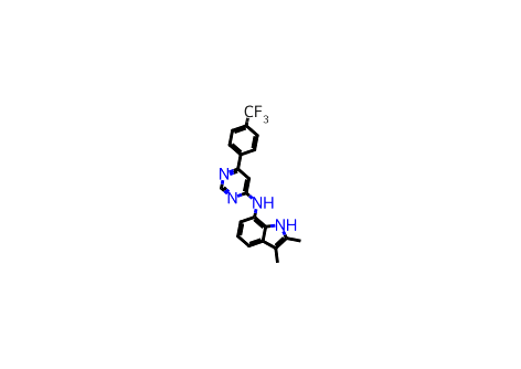 Cc1[nH]c2c(Nc3cc(-c4ccc(C(F)(F)F)cc4)ncn3)cccc2c1C